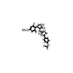 COc1cc(F)c(C2CNC(=O)[C@@H]2Nc2nnc(-c3ccc(OC(F)F)cc3)o2)c(F)c1